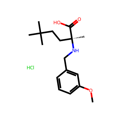 COc1cccc(CN[C@@](C)(CCC(C)(C)C)C(=O)O)c1.Cl